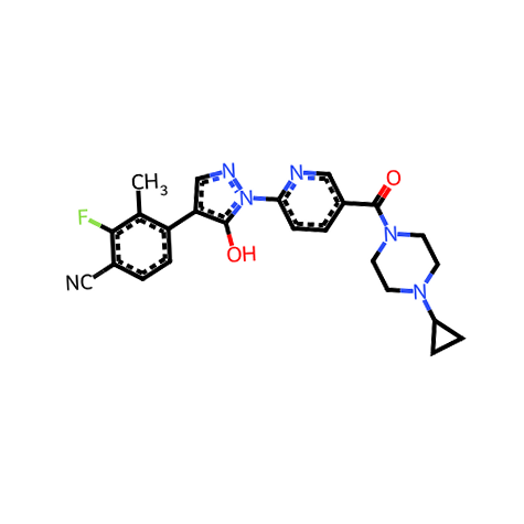 Cc1c(-c2cnn(-c3ccc(C(=O)N4CCN(C5CC5)CC4)cn3)c2O)ccc(C#N)c1F